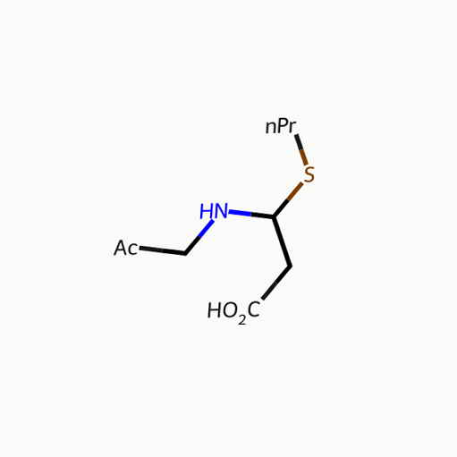 CCCSC(CC(=O)O)NCC(C)=O